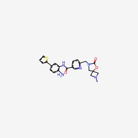 CN1CC2(C1)CN(Cc1ccc(C(=O)Nc3cc(-c4cccs4)ccc3N)cn1)C(=O)O2